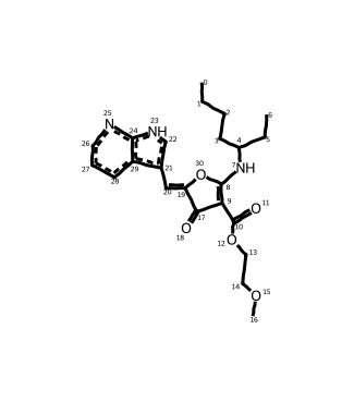 CCCCC(CC)NC1=C(C(=O)OCCOC)C(=O)/C(=C/c2c[nH]c3ncccc23)O1